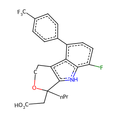 CCCC1(CC(=O)O)OCCc2c1[nH]c1c(F)ccc(-c3ccc(C(F)(F)F)cc3)c21